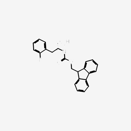 O=C(N[C@H](Cc1ccccc1F)C(=O)O)OCC1c2ccccc2-c2ccccc21